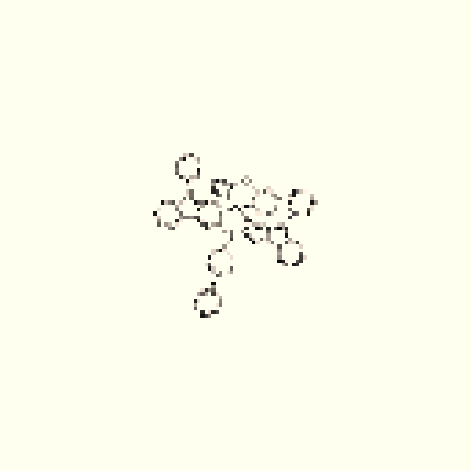 c1ccc(-c2ccc(N3c4cc5c6ccccc6n(-c6ccccc6)c5cc4C4(c5ccccc5Oc5ccccc54)c4cc5c(cc43)c3ccccc3n5-c3ccccc3)cc2)cc1